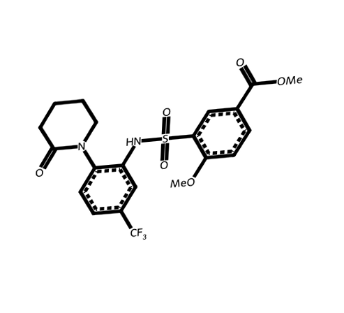 COC(=O)c1ccc(OC)c(S(=O)(=O)Nc2cc(C(F)(F)F)ccc2N2CCCCC2=O)c1